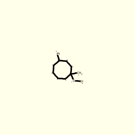 CCOC1(C)CCCCC(C(C)C)CC1